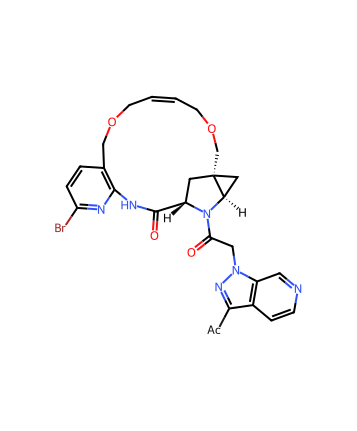 CC(=O)c1nn(CC(=O)N2[C@H]3C[C@@]4(COCC=CCOCc5ccc(Br)nc5NC3=O)C[C@@H]24)c2cnccc12